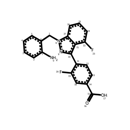 Nc1ccccc1Cn1nc(-c2ccc(C(=O)O)cc2F)c2c(F)cccc21